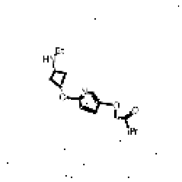 CCN[C@H]1C[C@H](Oc2ccc(OCC(=O)C(C)C)cn2)C1